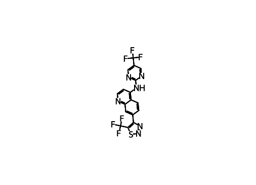 FC(F)(F)c1cnc(Nc2ccnc3cc(-c4nnsc4C(F)(F)F)ccc23)nc1